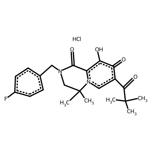 CC(C)(C)C(=O)c1cn2c(c(O)c1=O)C(=O)N(Cc1ccc(F)cc1)CC2(C)C.Cl